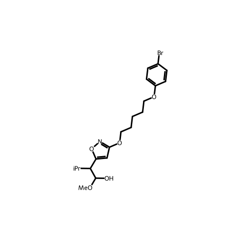 COC(O)C(c1cc(OCCCCCOc2ccc(Br)cc2)no1)C(C)C